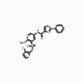 COc1ncc(NC(=O)c2csc(-c3ccccc3)n2)cc1S(=O)(=O)Nc1sccc1C